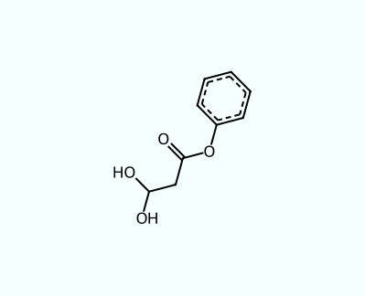 O=C(CC(O)O)Oc1ccccc1